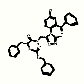 Cc1nnc(CNC(=O)[C@H](Cc2ccccc2)NC(=O)OCc2ccccc2)n1-c1ccc(Cl)cc1C(=O)c1ccccc1